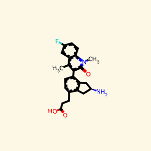 Cc1c(-c2ccc(CCC(=O)O)c3c2C[C@@H](N)C3)c(=O)n(C)c2ccc(F)cc12